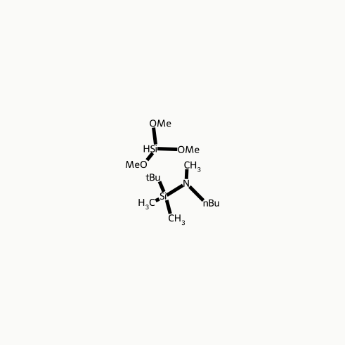 CCCCN(C)[Si](C)(C)C(C)(C)C.CO[SiH](OC)OC